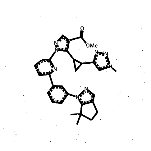 COC(=O)c1cnn(-c2cccc(-c3cccc(-n4ncc5c4C(C)(C)CC5)c3)n2)c1C1CC1c1cn(C)nn1